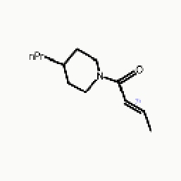 C/C=C/C(=O)N1CCC(CCC)CC1